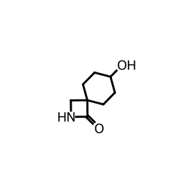 O=C1NCC12CCC(O)CC2